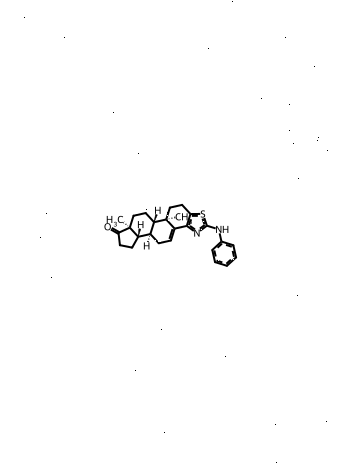 C[C@]12CCc3sc(Nc4ccccc4)nc3C1=CC[C@@H]1[C@@H]2CC[C@]2(C)C(=O)CC[C@@H]12